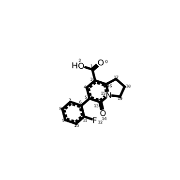 O=C(O)c1cc(-c2ccccc2F)c(=O)n2c1CCC2